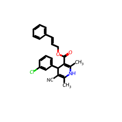 CC1=C(C#N)C(c2cccc(Cl)c2)C(C(=O)OCC=Cc2ccccc2)=C(C)N1